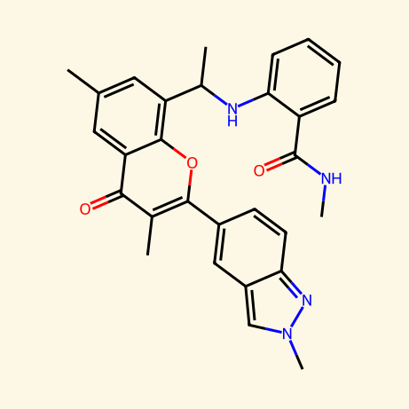 CNC(=O)c1ccccc1NC(C)c1cc(C)cc2c(=O)c(C)c(-c3ccc4nn(C)cc4c3)oc12